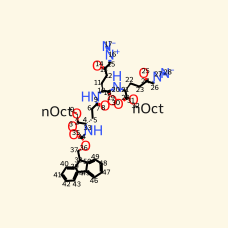 CCCCCCCCOC(=O)[C@H](CCC(=O)N[C@@H](CCC(=O)C=[N+]=[N-])C(=O)N[C@@H](CCC(=O)C=[N+]=[N-])C(=O)OCCCCCCCC)NC(=O)OCC1c2ccccc2-c2ccccc21